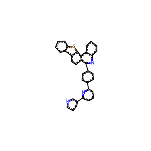 c1cncc(-c2cccc(-c3ccc(-c4nc5ccccc5c5c4ccc4c6ccccc6sc45)cc3)n2)c1